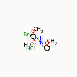 COc1cc(CCNCc2ccccc2OC)c(OC)cc1Br.Cl